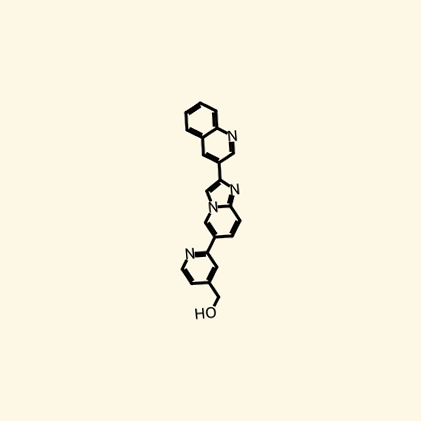 OCc1ccnc(-c2ccc3nc(-c4cnc5ccccc5c4)cn3c2)c1